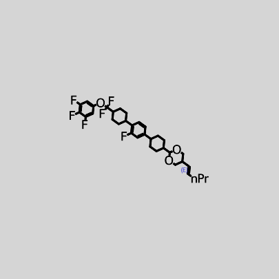 CCC/C=C/C1COC(C2CCC(c3ccc(C4CCC(C(F)(F)Oc5cc(F)c(F)c(F)c5)CC4)c(F)c3)CC2)OC1